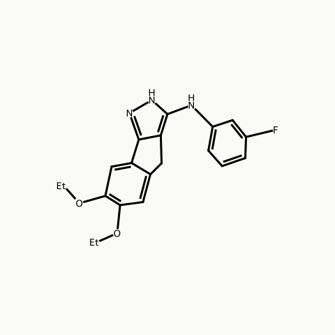 CCOc1cc2c(cc1OCC)-c1n[nH]c(Nc3cccc(F)c3)c1C2